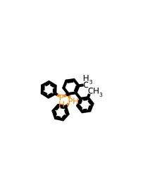 CC1=C(c2ccccc2C)C(Pc2ccccc2)(Pc2ccccc2)CC=C1